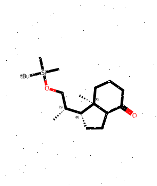 C[C@H](CO[Si](C)(C)C(C)(C)C)[C@H]1CCC2C(=O)CCC[C@@]21C